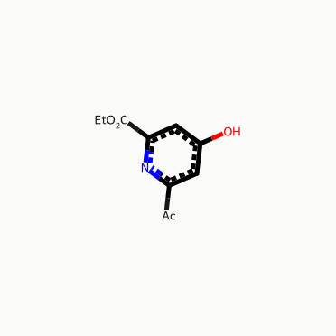 CCOC(=O)c1cc(O)cc(C(C)=O)n1